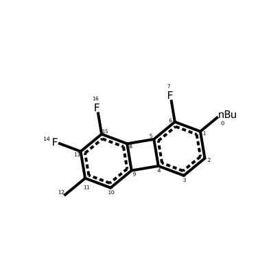 CCCCc1ccc2c(c1F)-c1c-2cc(C)c(F)c1F